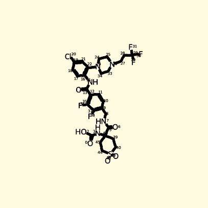 O=C(O)NC1(C(=O)NCc2ccc(C(=O)Nc3ccc(Cl)cc3N3CCN(CCC(F)(F)F)CC3)c(F)c2F)CCS(=O)(=O)CC1